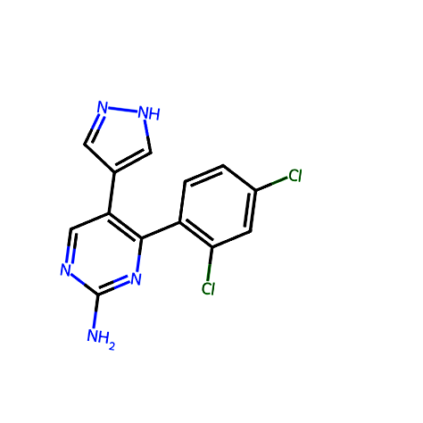 Nc1ncc(-c2cn[nH]c2)c(-c2ccc(Cl)cc2Cl)n1